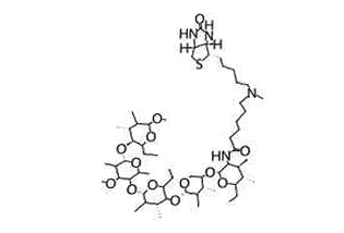 CCC1O[C@H](O[C@@H]2CO[C@@H](O[C@@H]3C(CC)O[C@@H](O[C@@H]4C(C)O[C@@H](O[C@@H]5C(CC)O[C@H](OC)C(C)[C@H]5C)C(C)[C@@H]4OC)C(C)[C@H]3C)C(C)[C@H]2C)C(NC(=O)CCCCCN(C)CCCCC[C@@H]2SC[C@@H]3NC(=O)N[C@@H]32)[C@@H](C)[C@@H]1C